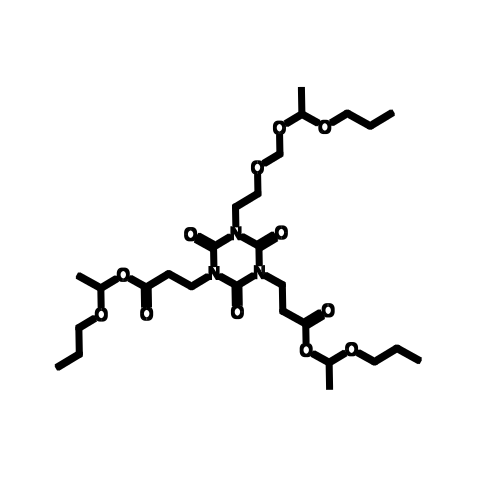 CCCOC(C)OCOCCn1c(=O)n(CCC(=O)OC(C)OCCC)c(=O)n(CCC(=O)OC(C)OCCC)c1=O